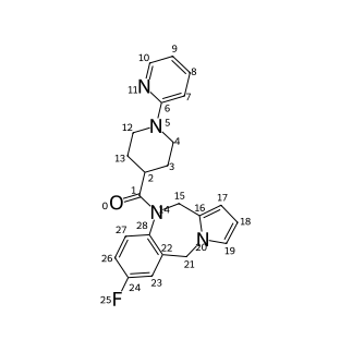 O=C(C1CCN(c2ccccn2)CC1)N1Cc2cccn2Cc2cc(F)ccc21